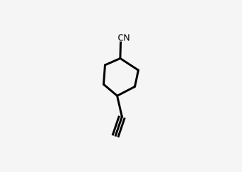 C#CC1CCC(C#N)CC1